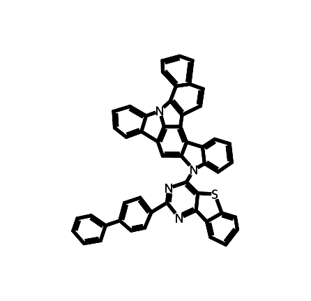 c1ccc(-c2ccc(-c3nc(-n4c5ccccc5c5c6c7ccc8ccccc8c7n7c8ccccc8c(cc54)c67)c4sc5ccccc5c4n3)cc2)cc1